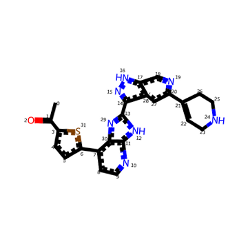 CC(=O)c1ccc(-c2ccnc3[nH]c(-c4n[nH]c5cnc(C6=CCNCC6)cc45)nc23)s1